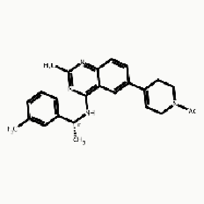 CC(=O)N1CC=C(c2ccc3nc(C)nc(N[C@H](C)c4cccc(C(F)(F)F)c4)c3c2)CC1